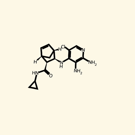 Nc1ncc(Cl)c(N[C@H]2[C@@H](C(=O)NC3CC3)[C@@H]3C=C[C@H]2C3)c1N